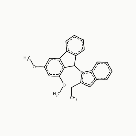 CCc1cc2ccccc2n1C1c2ccccc2-c2cc(OC)cc(OC)c21